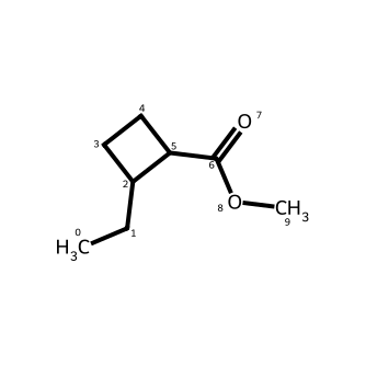 CCC1CCC1C(=O)OC